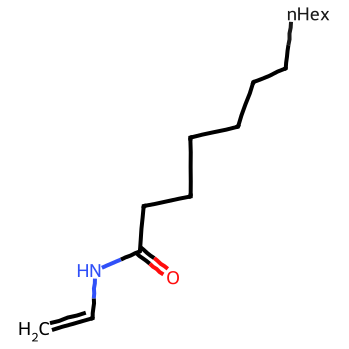 C=CNC(=O)CCCCCCCCCCCC